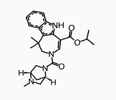 CC(C)OC(=O)C1=CN(C(=O)N2C[C@@H]3C[C@H]2CN3C)CC(C)(C)c2c1[nH]c1ccccc21